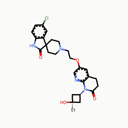 CC[C@]1(O)C[C@@H](N2C(=O)CCc3cc(OCCN4CCC5(CC4)C(=O)Nc4ccc(Cl)cc45)cnc32)C1